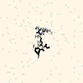 C=CC(=C)N(C(=C)c1cc(F)cc2c1C2F)C(=N)CCCNC(/N=C/N)=C(C)/C(N)=N\C